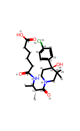 CC(NC(=O)CCCCC(=O)O)[C@@H](C)C(=O)N1CC[C@](O)(c2ccc(Cl)cc2)C(C)(C)C1